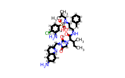 CC[C@H](C)[C@@H](C(=O)N[C@@H](Cc1ccccc1)[C@H](O)CN(CC(C)C)S(=O)(=O)c1ccc(Cl)c(N)c1)N1CC(=O)N(Cc2ccc3cc(N)ccc3n2)C1=O